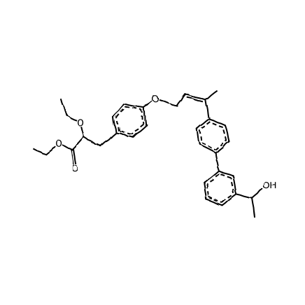 CCOC(=O)C(Cc1ccc(OC/C=C(/C)c2ccc(-c3cccc(C(C)O)c3)cc2)cc1)OCC